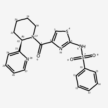 O=C(c1csc(NS(=O)(=O)c2ccccc2)n1)N1CCCC[C@@H]1c1ccccn1